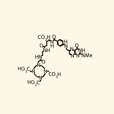 CNc1nc2ncc(CNc3ccc(C(=O)N[C@@H](CCC(=O)NCCNC(=O)CN4CCN(CC(=O)O)CCN(CC(=O)O)CCN(CC(=O)O)CC4)C(=O)O)cc3)nc2c(=O)[nH]1